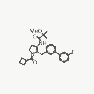 COC(C)(C)C(=O)N[C@@H]1CCN(C(=O)C2CCC2)[C@@H]1Cc1cccc(-c2cccc(F)c2)c1